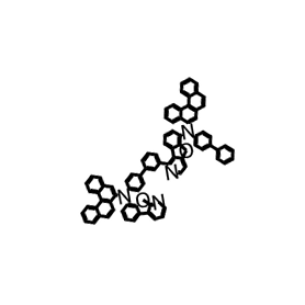 c1ccc(-c2ccc(N(c3cc4ccc5ccccc5c4c4ccccc34)c3cccc4c3oc3ccnc(-c5cccc(-c6ccc(N(c7cc8ccccc8c8c7ccc7ccccc78)c7cccc8c7oc7ncccc78)cc6)c5)c34)cc2)cc1